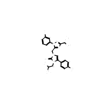 C[C@H](O)c1nc(Cn2cc(-c3ccc(Cl)cc3)n(CC(O)C(F)(F)F)c2=O)n(-c2cccc(F)c2)n1